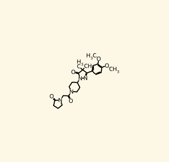 COc1ccc(C2=NN(C3CCN(C(=O)CN4CCCC4=O)CC3)C(=O)C2(C)C)cc1OC